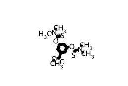 COC(=O)c1cc(OC(=S)N(C)C)cc(OC(=S)N(C)C)c1